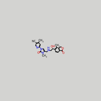 Cc1cc(-n2cc(CNC[C@H](O)c3ccc4c(c3C)COC4=O)n(C)c2=O)ncc1C#N